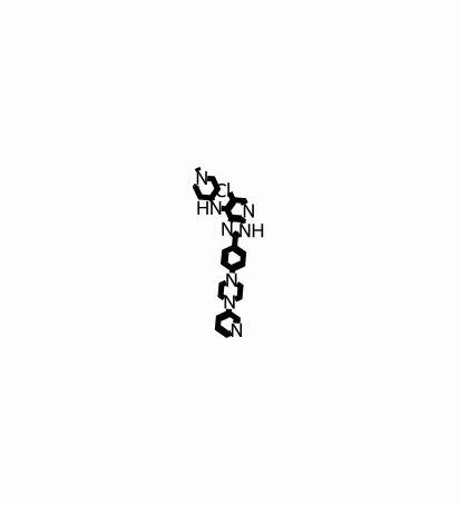 CN1CCC(Nc2c(Cl)cnc3[nH]c(-c4ccc(N5CCN(c6cccnc6)CC5)cc4)nc23)CC1